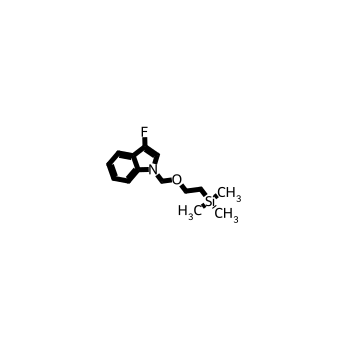 C[Si](C)(C)CCOCn1cc(F)c2ccccc21